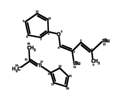 CC(=CC(=COc1ccccc1)C(C)(C)C)C(C)(C)C.C[C](C)=[Ti][C]1=CC=CC1